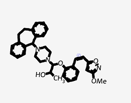 COc1cc(/C=C\c2ccccc2OC(C(C)O)N2CCN(C3c4ccccc4CCc4ccccc43)CC2)on1